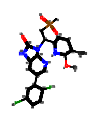 CCOc1nc([C@H](CS(C)(=O)=O)n2c(=O)[nH]c3cc(-c4cc(F)ccc4F)cnc32)ccc1OC